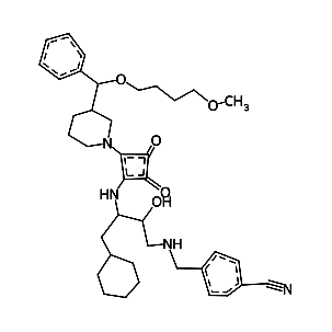 COCCCCOC(c1ccccc1)C1CCCN(c2c(NC(CC3CCCCC3)C(O)CNCc3ccc(C#N)cc3)c(=O)c2=O)C1